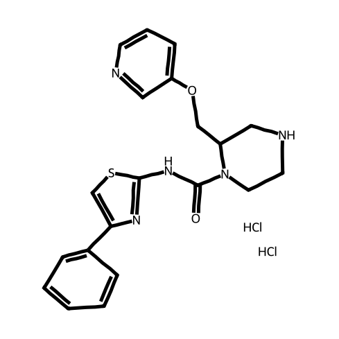 Cl.Cl.O=C(Nc1nc(-c2ccccc2)cs1)N1CCNCC1COc1cccnc1